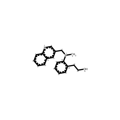 CN(Cc1cnc2ccccc2c1)c1ccccc1CCO